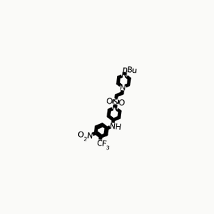 CCCCN1CCN(CCS(=O)(=O)N2CCC(Nc3ccc([N+](=O)[O-])c(C(F)(F)F)c3)CC2)CC1